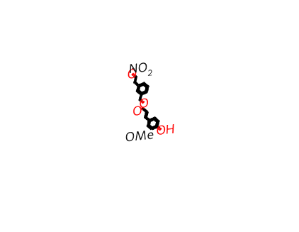 COc1cc(/C=C/C(=O)OCc2cccc(CCO[N+](=O)[O-])c2)ccc1O